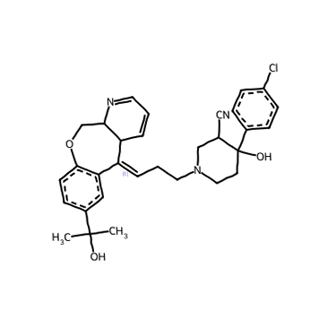 CC(C)(O)c1ccc2c(c1)/C(=C/CCN1CCC(O)(c3ccc(Cl)cc3)C(C#N)C1)C1C=CC=NC1CO2